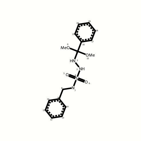 COC(NNS(=O)(=O)[N]Cc1ccccc1)(OC)c1ccccc1